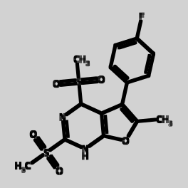 Cc1oc2c(c1-c1ccc(F)cc1)C(S(C)(=O)=O)N=C(S(C)(=O)=O)N2